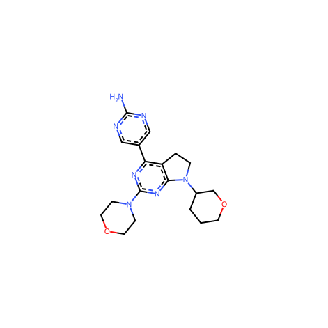 Nc1ncc(-c2nc(N3CCOCC3)nc3c2CCN3C2CCCOC2)cn1